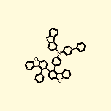 c1ccc(-c2ccc(N(c3ccc(-c4c(-c5ccc6oc7ccccc7c6c5-c5ccccc5)ccc5oc6ccccc6c45)cc3)c3ccc4sc5ccccc5c4c3)cc2)cc1